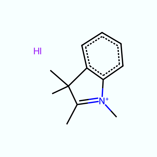 CC1=[N+](C)c2ccccc2C1(C)C.I